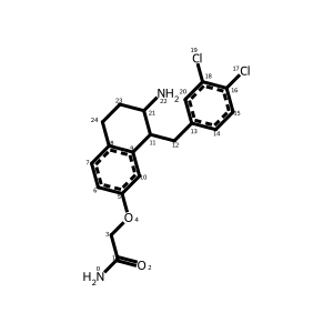 NC(=O)COc1ccc2c(c1)C(Cc1ccc(Cl)c(Cl)c1)C(N)CC2